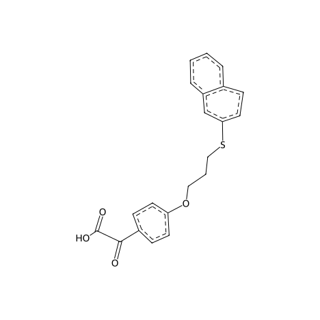 O=C(O)C(=O)c1ccc(OCCCSc2ccc3ccccc3c2)cc1